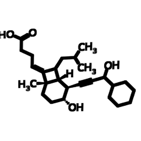 CC(C)CC1C(=CCCC(=O)O)[C@@]2(C)CC[C@@H](O)[C@H](C#CC(O)C3CCCCC3)[C@@H]12